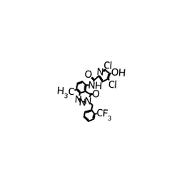 Cc1ccc(NC(=O)c2cc(Cl)c(O)c(Cl)n2)c2c(=O)n(Cc3ccccc3C(F)(F)F)nnc12